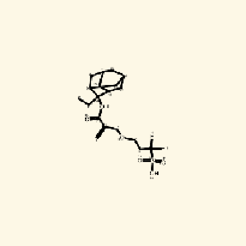 C=C(COCCC(F)(F)S(=O)(=O)O)C(=O)OC1(CC)C2CC3CC(C2)CC1C3